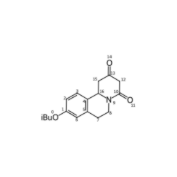 CC(C)COc1ccc2c(c1)CCN1C(=O)CC(=O)CC21